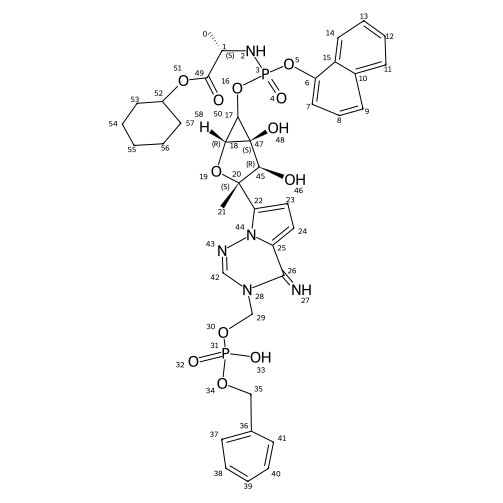 C[C@H](NP(=O)(Oc1cccc2ccccc12)OC1[C@H]2O[C@@](C)(c3ccc4c(=N)n(COP(=O)(O)OCc5ccccc5)cnn34)[C@H](O)[C@@]12O)C(=O)OC1CCCCC1